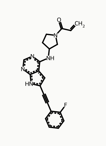 C=CC(=O)N1CCC(Nc2ncnc3[nH]c(C#Cc4ccccc4F)cc23)C1